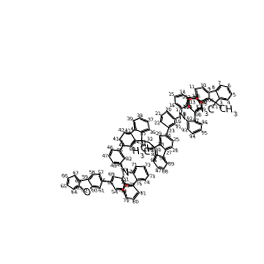 CC1(C)c2ccccc2-c2ccc(-c3cccc(N(c4cccc(-c5ccc6c(c5)C(C)(CC5(C)c7ccccc7-c7ccc(-c8cccc(N(c9cccc(-c%10ccc%11c(c%10)oc%10ccccc%10%11)c9)c9ccccc9-c9ccccc9)c8)cc75)c5ccccc5-6)c4)c4ccccc4-c4ccccc4)c3)cc21